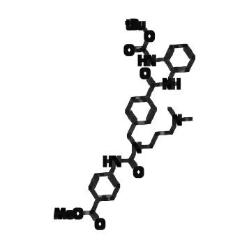 COC(=O)c1ccc(NC(=O)N(CCCN(C)C)Cc2ccc(C(=O)Nc3ccccc3NC(=O)OC(C)(C)C)cc2)cc1